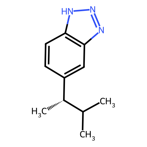 CC(C)[C@H](C)c1ccc2[nH]nnc2c1